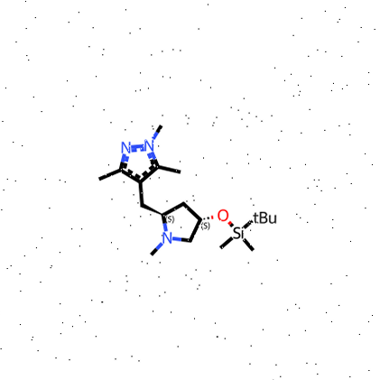 Cc1nn(C)c(C)c1C[C@H]1C[C@H](O[Si](C)(C)C(C)(C)C)CN1C